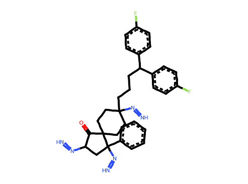 N=NC1CC(N=N)(c2ccccc2)C2(CCC(CCCC(c3ccc(F)cc3)c3ccc(F)cc3)(N=N)CC2)C1=O